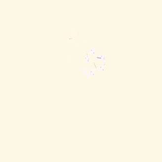 C[C@H](Cn1cnc2c(N)ncnc21)OCP(=O)(O)OCCOCCCCCCCCCCCCCCC1CCCC1